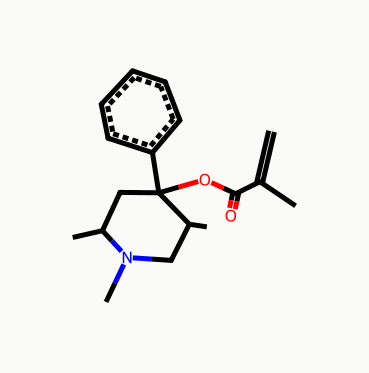 C=C(C)C(=O)OC1(c2ccccc2)CC(C)N(C)CC1C